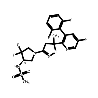 CC1(c2ncc(F)cc2-c2c(F)cccc2F)CC(N2C[C@@H](NS(C)(=O)=O)C(F)(F)C2)=NO1